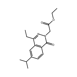 CCOC(=O)Cn1nc(CC)c2cc(C(C)C)ccc2c1=O